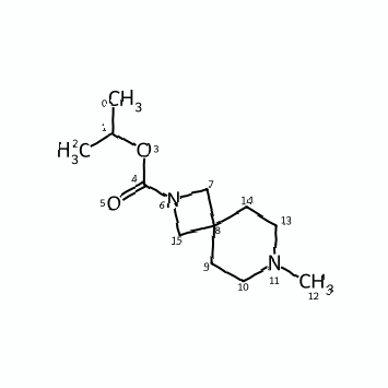 CC(C)OC(=O)N1CC2(CCN(C)CC2)C1